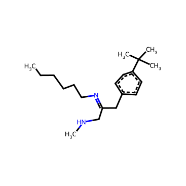 CCCCCCN=C(CNC)Cc1ccc(C(C)(C)C)cc1